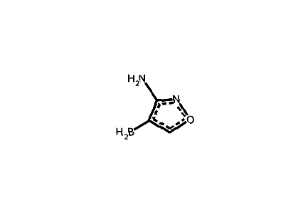 Bc1conc1N